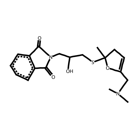 CN(C)CC1=CCC(C)(SCC(O)CN2C(=O)c3ccccc3C2=O)O1